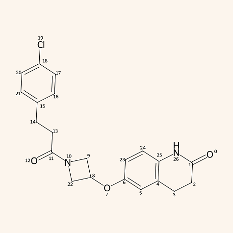 O=C1CCc2cc(OC3CN(C(=O)CCc4ccc(Cl)cc4)C3)ccc2N1